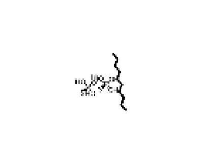 CCCCCCCCCC.OP(O)(O)=S.OP(O)(O)=S